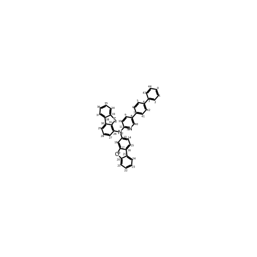 c1ccc(-c2ccc(-c3ccc(N(c4ccc5c(c4)oc4ccccc45)c4cccc5c4sc4ccccc45)nc3)cc2)cc1